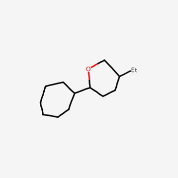 CCC1CCC(C2CCCCCC2)OC1